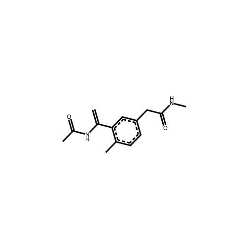 C=C(NC(C)=O)c1cc(CC(=O)NC)ccc1C